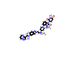 CN(CCn1cc2cc(NC(=O)c3cnn4cccnc34)c(F)cc2n1)C1CCN(c2cccc3c2n(C)c(=O)n3C2CCC(=O)NC2=O)CC1